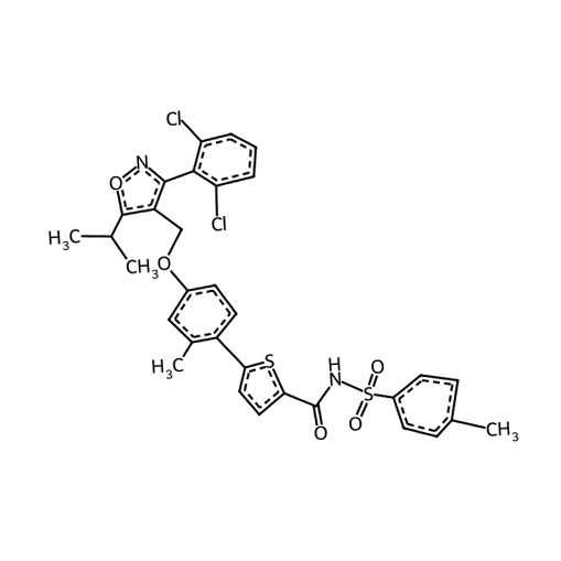 Cc1ccc(S(=O)(=O)NC(=O)c2ccc(-c3ccc(OCc4c(-c5c(Cl)cccc5Cl)noc4C(C)C)cc3C)s2)cc1